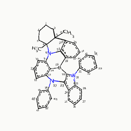 CC12CCCCC1(C)N1c3cccc4c3B(c3cccc2c31)c1c(c2ccccc2n1-c1ccccc1)N4c1ccccc1